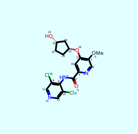 COc1cnc(C(=O)Nc2c(Cl)cncc2Cl)cc1O[C@H]1CC[C@H](O)C1